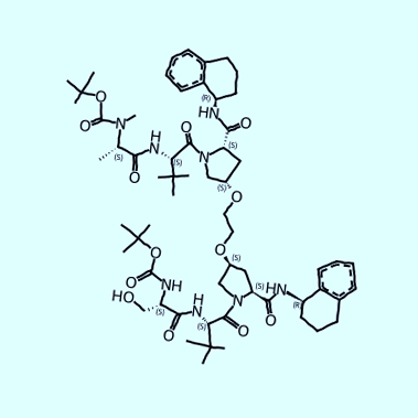 C[C@@H](C(=O)N[C@H](C(=O)N1C[C@@H](OCCO[C@H]2C[C@@H](C(=O)N[C@@H]3CCCc4ccccc43)N(C(=O)[C@@H](NC(=O)[C@H](CO)NC(=O)OC(C)(C)C)C(C)(C)C)C2)C[C@H]1C(=O)N[C@@H]1CCCc2ccccc21)C(C)(C)C)N(C)C(=O)OC(C)(C)C